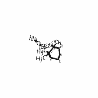 CCC1(C)CCCCC1(C)C.N=C=S